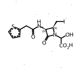 O=C(Cc1cccs1)N[C@@H]1C(=O)N(C(O)C(=O)O)[C@@H]1CI